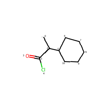 [CH2]C(C(=O)Cl)C1CCCCC1